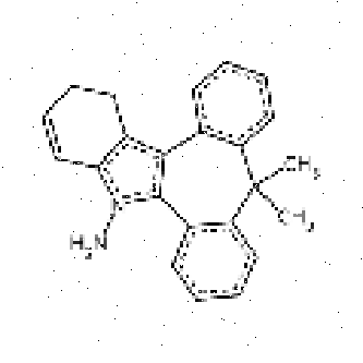 CC1(C)c2ccccc2-c2c3c(n(N)c2-c2ccccc21)C=CCC3